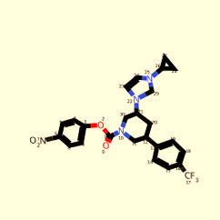 O=C(Oc1ccc([N+](=O)[O-])cc1)N1CC(c2ccc(C(F)(F)F)cc2)CC(N2C=CN(C3CC3)C2)C1